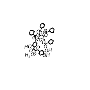 COc1c(-c2ccc(O)c(O)c2)oc2cc(O[C@@H]3OC(COC(=O)c4ccccc4)[C@H](OC(=O)c4ccccc4)C(OC(=O)c4ccccc4)[C@@H]3OC(=O)c3ccccc3)cc(O)c2c1=O